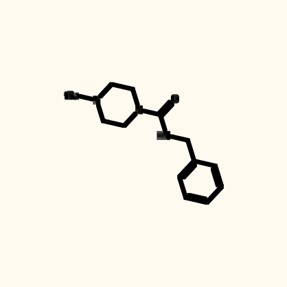 CC(C)(C)N1CCN(C(=O)NCc2ccccc2)CC1